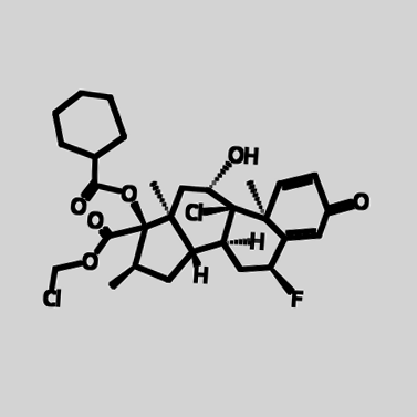 C[C@@H]1C[C@H]2[C@@H]3C[C@H](F)C4=CC(=O)C=C[C@]4(C)[C@@]3(Cl)[C@@H](O)C[C@]2(C)[C@@]1(OC(=O)C1CCCCC1)C(=O)OCCl